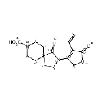 C=CC1=C(N2CCC3(CCN(C(=O)O)CC3)C2=O)COC1=O